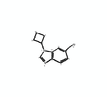 CC(C)c1ccc2ncn(C3CCC3)c2c1